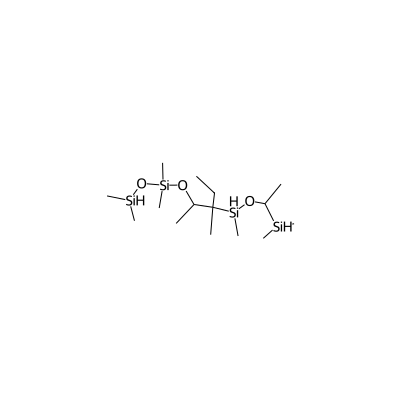 CCC(C)(C(C)O[Si](C)(C)O[SiH](C)C)[SiH](C)OC(C)[SiH](C)C